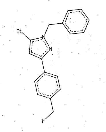 CCc1cc(-c2ccc(CF)cc2)nn1Cc1ccccc1